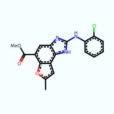 COC(=O)c1cc2nc(Nc3ccccc3Cl)[nH]c2c2cc(C)oc12